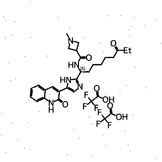 CCC(=O)CCCCC[C@H](NC(=O)C1CN(C)C1)c1ncc(-c2cc3ccccc3[nH]c2=O)[nH]1.O=C(O)C(F)(F)F.O=C(O)C(F)(F)F